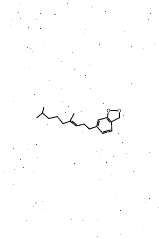 C/C(=C\CCc1ccc2c(c1)OOC2)CCCC(C)C